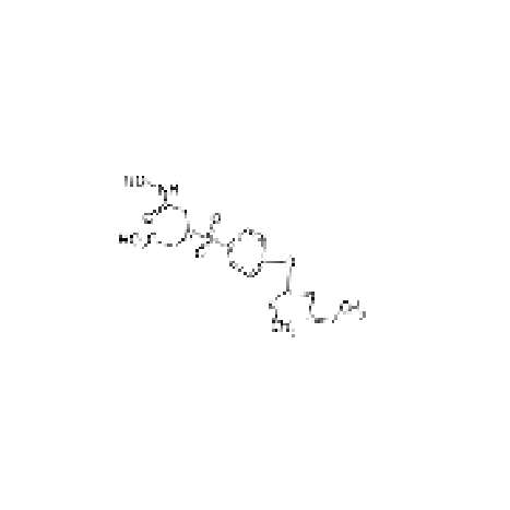 C=C/C(=C\C=C/C)Oc1ccc(S(=O)(=O)N(CC(=O)O)CC(=O)NO)cc1